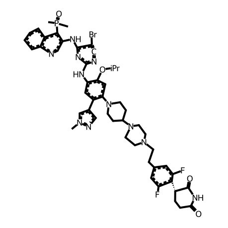 CC(C)Oc1cc(N2CCC(N3CCN(CCc4cc(F)c([C@H]5CCC(=O)NC5=O)c(F)c4)CC3)CC2)c(-c2cnn(C)c2)cc1Nc1ncc(Br)c(Nc2cnc3ccccc3c2P(C)(C)=O)n1